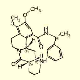 COc1cc(C(=O)N[C@H](C)c2ccccc2)c2c(c1OC)CCN1C(=O)[C@H]3CCCN[C@H]3C[C@@H]21